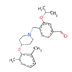 Cc1cccc(C)c1OC1CCN(Cc2ccc(C=O)cc2OC(C)C)CC1